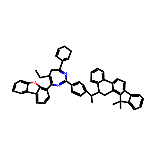 CCC1=C(c2cccc3c2oc2ccccc23)N=C(c2ccc(C(C)C3Cc4c(ccc5c4C(C)(C)c4ccccc4-5)-c4ccccc43)cc2)N=C(C2=CCCC=C2)C1